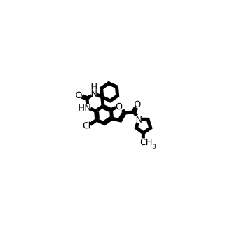 CC1CCN(C(=O)c2cc3cc(Cl)c4c(c3o2)C2(CCCCC2)NC(=O)N4)C1